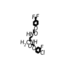 C=C(CCNC(=O)COc1ccc(C(F)F)cc1)NC(=O)COc1ccc(Cl)c(F)c1